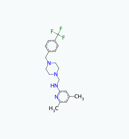 Cc1cc(C)nc(NCN2CCN(Cc3ccc(C(F)(F)F)cc3)CC2)c1